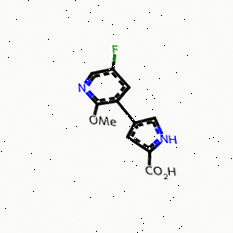 COc1ncc(F)cc1-c1c[nH]c(C(=O)O)c1